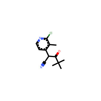 Cc1c(C(C#N)C(=O)C(C)(C)C)ccnc1Cl